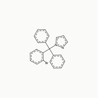 Brc1ccccc1C(c1ccccc1)(c1ccccc1)n1cccn1